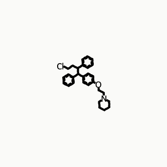 ClCCC(c1ccccc1)C(c1ccccc1)c1ccc(OCCN2CCCCC2)cc1